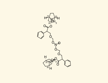 CN1[C@@H]2CC[C@H]1C[C@@H](OC(=O)C(COCO[N+](=O)OCOCC(C(=O)O[C@H]1C[C@H]3CC[C@@H](C1)N3C)c1ccccc1)c1ccccc1)C2